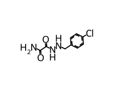 NC(=O)C(=O)NNCc1ccc(Cl)cc1